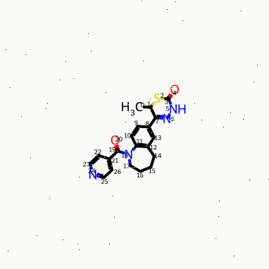 CC1SC(=O)NN=C1c1ccc2c(c1)CCCCN2C(=O)c1ccncc1